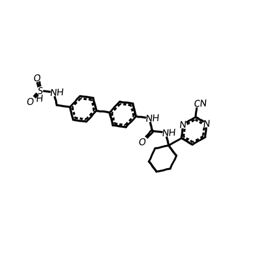 N#Cc1nccc(C2(NC(=O)Nc3ccc(-c4ccc(CN[SH](=O)=O)cc4)cc3)CCCCC2)n1